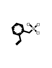 C=Cc1ccccc1C[Si](Cl)(Cl)Cl